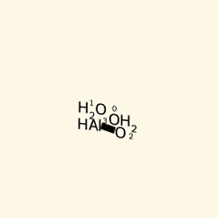 O.O.[O]=[AlH]